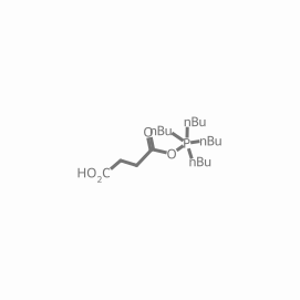 CCCCP(CCCC)(CCCC)(CCCC)OC(=O)CCC(=O)O